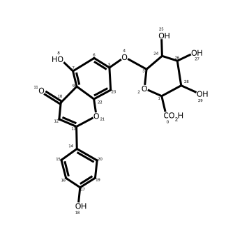 O=C(O)C1OC(Oc2cc(O)c3c(=O)cc(-c4ccc(O)cc4)oc3c2)C(O)C(O)C1O